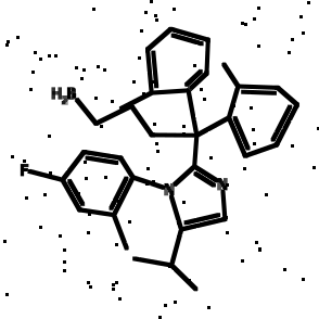 BCCCC(c1ccccc1C)(c1ccccc1C)c1ncc(C(C)C)n1-c1ccc(F)cc1C